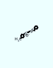 Cc1ccc(C[S+]([O-])CC=CSSCc2ccccc2)cc1